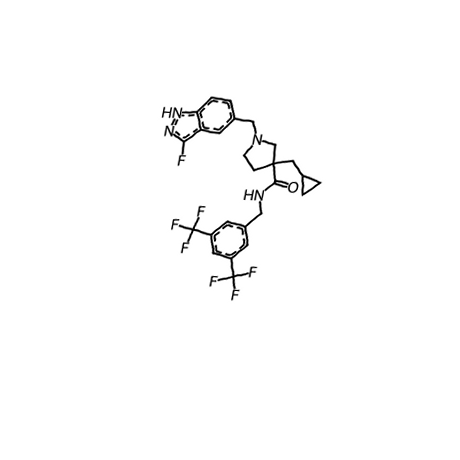 O=C(NCc1cc(C(F)(F)F)cc(C(F)(F)F)c1)C1(CC2CC2)CCN(Cc2ccc3[nH]nc(F)c3c2)C1